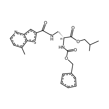 Cc1ccnc2cc(C(=O)NC[C@@H](NC(=O)OCc3ccccc3)C(=O)OCC(C)C)sc12